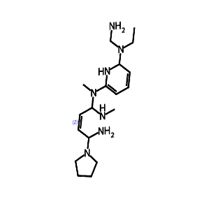 CCN(CN)C1C=CC=C(N(C)C(/C=C\C(N)N2CCCC2)NC)N1